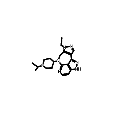 CCn1ncc2c1CN(C1CCN(C(C)C)CC1)c1nccc3[nH]nc-2c13